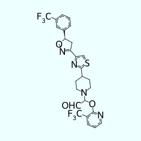 O=CC(Oc1ncccc1C(F)(F)F)N1CCC(c2nc(C3=NO[C@@H](c4cccc(C(F)(F)F)c4)C3)cs2)CC1